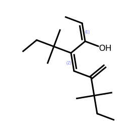 C=C(/C=C(\C(O)=C/C)C(C)(C)CC)C(C)(C)CC